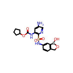 Nc1cnc(S(=O)(=O)Nc2ccc3c(c2)B(O)OC3)c(NC(=O)OC2CCCC2)c1